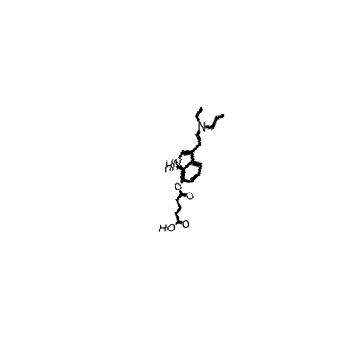 CCCN(CC)CCc1c[nH]c2c(OC(=O)CCCC(=O)O)cccc12